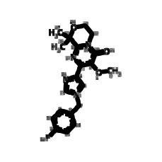 COc1c(-c2cn(Cc3ccc(F)cc3)cn2)nc2n(c1=O)CCOC2(C)C